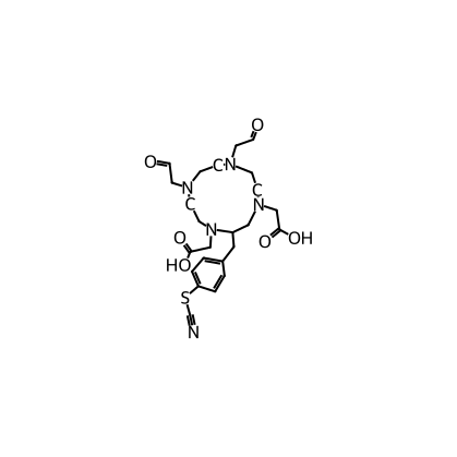 N#CSc1ccc(CC2CN(CC(=O)O)CCN(CC=O)CCN(CC=O)CCN2CC(=O)O)cc1